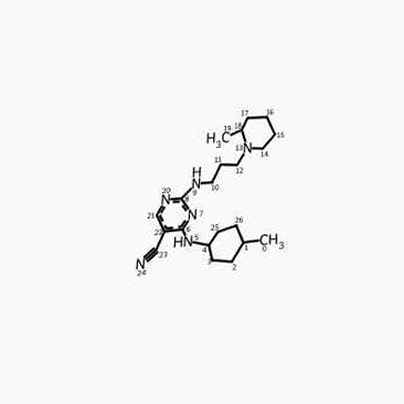 CC1CCC(Nc2nc(NCCCN3CCCCC3C)ncc2C#N)CC1